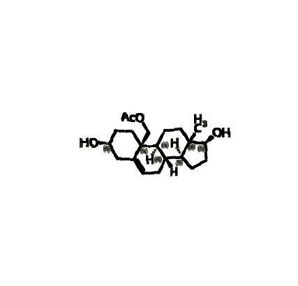 CC(=O)OC[C@]12CC[C@H](O)CC1=CC[C@@H]1[C@@H]2CC[C@]2(C)[C@@H](O)CC[C@@H]12